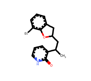 CCc1cccc2c1OC(CC(C)c1ccc[nH]c1=O)C2